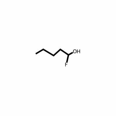 CCCCC(O)F